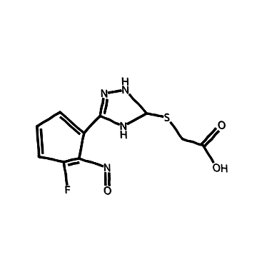 O=Nc1c(F)cccc1C1=NNC(SCC(=O)O)N1